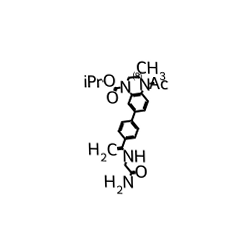 C=C(NCC(N)=O)c1ccc(-c2ccc3c(c2)N(C(=O)OC(C)C)C[C@H](C)N3C(C)=O)cc1